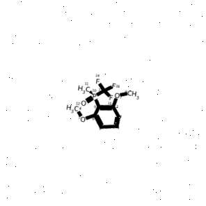 COc1cccc(OC)c1[P@](C)(=O)C(F)(F)F